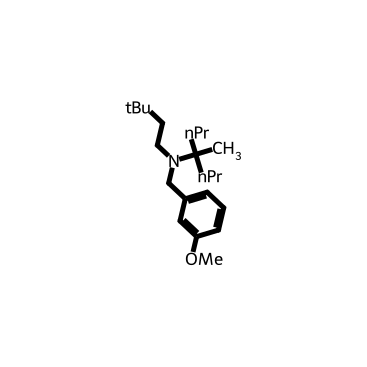 CCCC(C)(CCC)N(CCC(C)(C)C)Cc1cccc(OC)c1